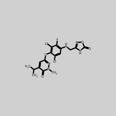 CC(C)c1cc(Oc2c(Cl)cc(NCc3noc(=O)[nH]3)c(F)c2Cl)nn(C)c1=O